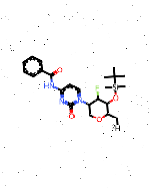 [2H]CC1OCC(n2ccc(NC(=O)c3ccccc3)nc2=O)C(F)C1O[Si](C)(C)C(C)(C)C